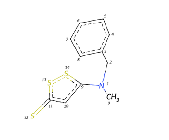 CN(Cc1ccccc1)c1cc(=S)ss1